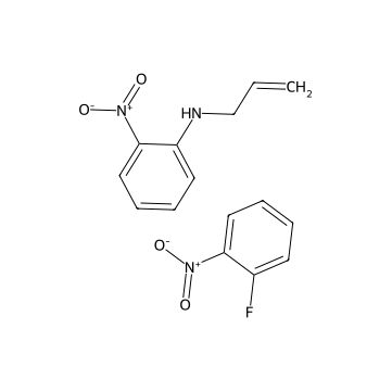 C=CCNc1ccccc1[N+](=O)[O-].O=[N+]([O-])c1ccccc1F